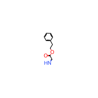 N=CC(=O)OCCc1ccccc1